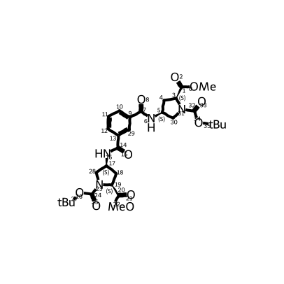 COC(=O)[C@@H]1C[C@H](NC(=O)c2cccc(C(=O)N[C@H]3C[C@@H](C(=O)OC)N(C(=O)OC(C)(C)C)C3)c2)CN1C(=O)OC(C)(C)C